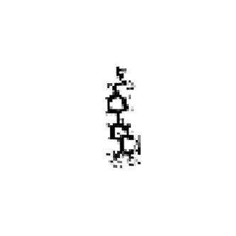 CCNc1c(C#N)nnc2cc(-c3ccc(C[SH](=O)=O)cc3)ccc12